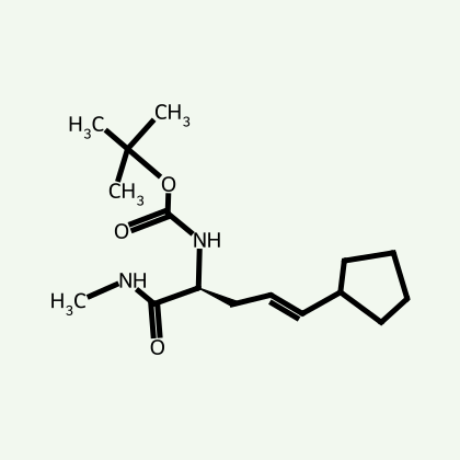 CNC(=O)[C@H](CC=CC1CCCC1)NC(=O)OC(C)(C)C